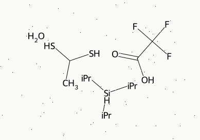 CC(C)[SiH](C(C)C)C(C)C.CC(S)S.O.O=C(O)C(F)(F)F